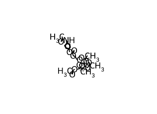 CC(=O)Nc1ccc(OC(=O)OCCOC2OC(COC(C)=O)[C@@H](C)C(OC(C)=O)[C@H]2OC(C)=O)cc1